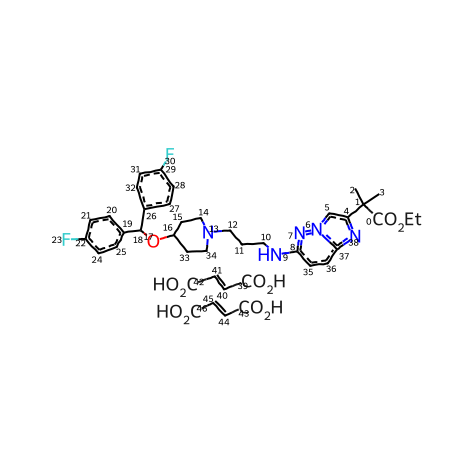 CCOC(=O)C(C)(C)c1cn2nc(NCCCN3CCC(OC(c4ccc(F)cc4)c4ccc(F)cc4)CC3)ccc2n1.O=C(O)/C=C/C(=O)O.O=C(O)/C=C/C(=O)O